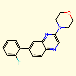 Fc1ccccc1-c1ccc2ncc(N3CCOCC3)nc2c1